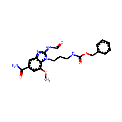 COc1cc(C(N)=O)cc2nc(NC=O)n(CCCNC(=O)OCc3ccccc3)c12